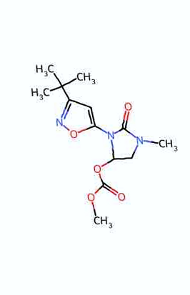 COC(=O)OC1CN(C)C(=O)N1c1cc(C(C)(C)C)no1